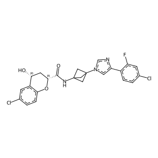 O=C(NC12CC(n3cnc(-c4ccc(Cl)cc4F)c3)(C1)C2)[C@H]1C[C@@H](O)c2cc(Cl)ccc2O1